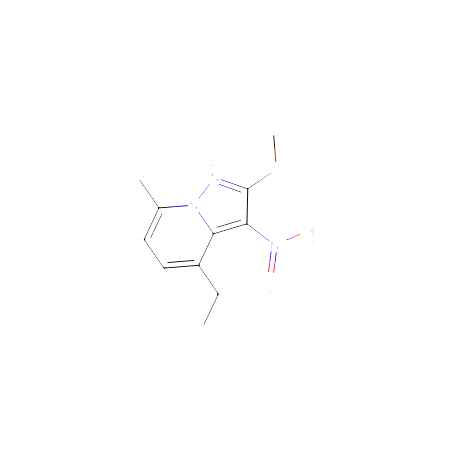 CCc1ccc(C)n2nc(SC)c([N+](=O)O)c12